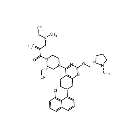 C=C(CN(C)CC(F)(F)F)C(=O)N1CCN(c2nc(OC[C@@H]3CCCN3C)nc3c2CCN(c2cccc4cccc(Cl)c24)C3)C[C@@H]1CC#N